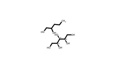 CCCC(O)CO.OC[C@@H](O)[C@H](O)[C@@H](O)CO